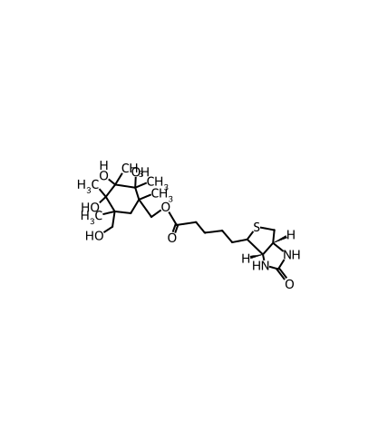 CC1(CO)CC(C)(COC(=O)CCCCC2SC[C@@H]3NC(=O)N[C@H]23)C(C)(O)C(C)(O)C1(C)O